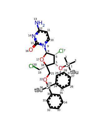 CC(C)(C)[Si](C)(C)O[C@H]1[C@@H](Cl)[C@H](n2ccc(N)nc2=O)O[C@]1(CCl)CO[Si](c1ccccc1)(c1ccccc1)C(C)(C)C